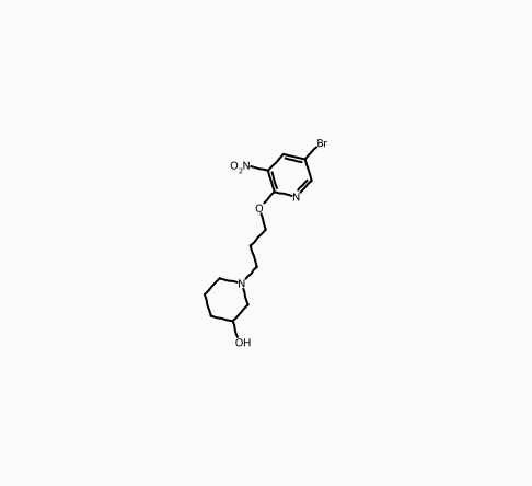 O=[N+]([O-])c1cc(Br)cnc1OCCCN1CCCC(O)C1